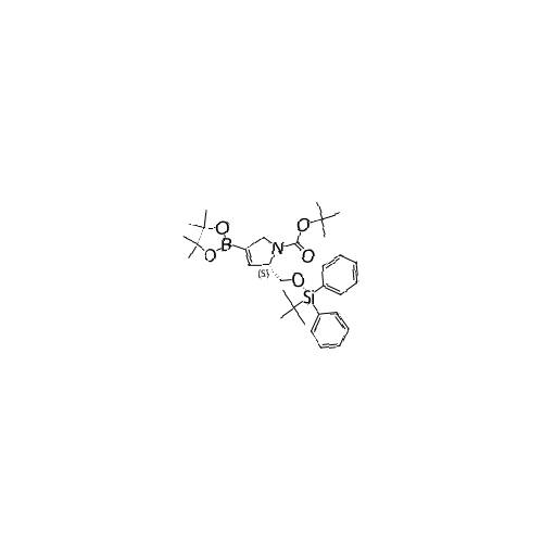 CC(C)(C)OC(=O)N1CC(B2OC(C)(C)C(C)(C)O2)=C[C@H]1CO[Si](c1ccccc1)(c1ccccc1)C(C)(C)C